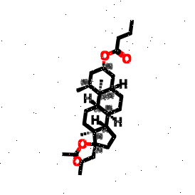 CCCC(=O)O[C@@H]1C[C@@H]2CC[C@@H]3[C@H](CC[C@@]4(C)[C@H]3CC[C@]4(CCC)OC(C)=O)[C@@]2(C)[C@@H](C)C1